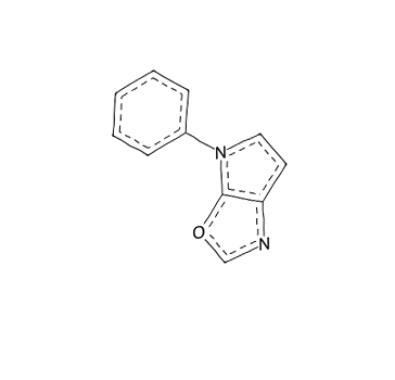 c1ccc(-n2ccc3ncoc32)cc1